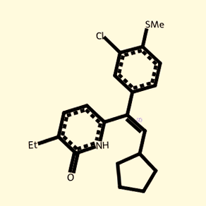 CCc1ccc(/C(=C\C2CCCC2)c2ccc(SC)c(Cl)c2)[nH]c1=O